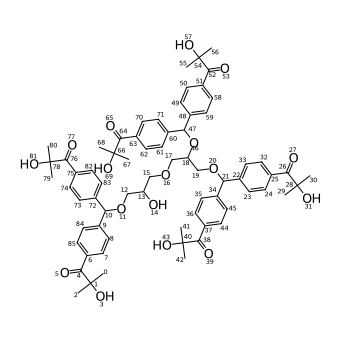 CC(C)(O)C(=O)c1ccc(C(OCC(O)COCC(COC(c2ccc(C(=O)C(C)(C)O)cc2)c2ccc(C(=O)C(C)(C)O)cc2)OC(c2ccc(C(=O)C(C)(C)O)cc2)c2ccc(C(=O)C(C)(C)O)cc2)c2ccc(C(=O)C(C)(C)O)cc2)cc1